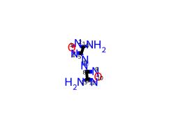 Nc1nonc1/N=N/c1nonc1N